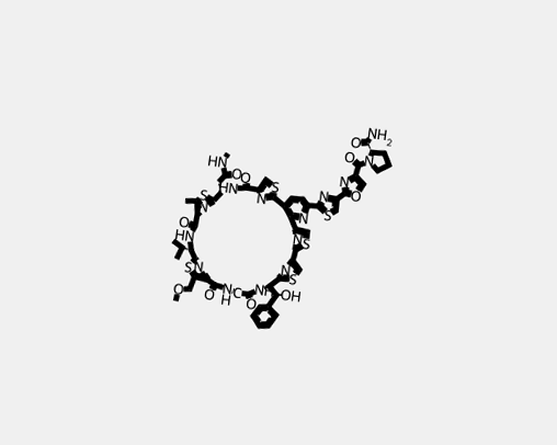 CNC(=O)C[C@@H]1NC(=O)c2csc(n2)-c2ccc(-c3nc(-c4nc(C(=O)N5CCC[C@H]5C(N)=O)co4)cs3)nc2-c2csc(n2)-c2csc(n2)[C@@H]([C@H](O)c2ccccc2)NC(=O)CNC(=O)c2nc(sc2COC)[C@H](C(C)C)NC(=O)c2nc1sc2C